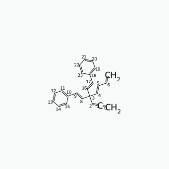 C=C=CC(C=CC=C)(C=Cc1ccccc1)C=Cc1ccccc1